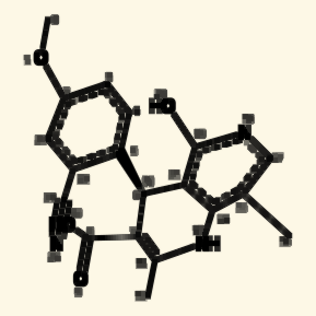 COc1ccc([C@@H]2C(C(=O)O)=C(C)Nc3c(C)cnc(O)c32)c(C#N)c1